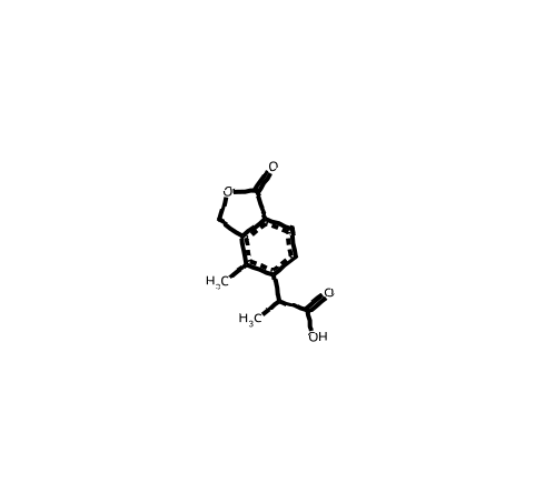 Cc1c(C(C)C(=O)O)ccc2c1COC2=O